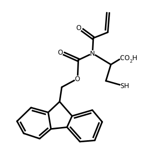 C=CC(=O)N(C(=O)OCC1c2ccccc2-c2ccccc21)C(CS)C(=O)O